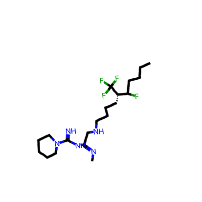 CCCCC(F)[C@H](CCCCNC/C(=N/C)NC(=N)N1CCCCC1)C(F)(F)F